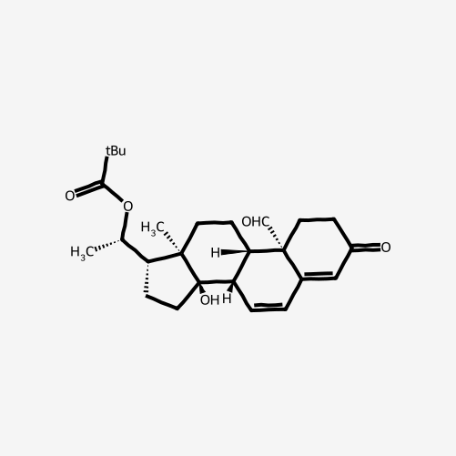 C[C@H](OC(=O)C(C)(C)C)[C@H]1CC[C@@]2(O)[C@H]3C=CC4=CC(=O)CC[C@]4(C=O)[C@H]3CC[C@]12C